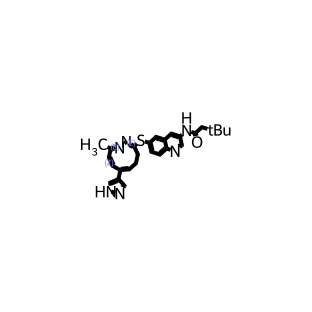 CC1=N\N=C(\Sc2ccc3ncc(NC(=O)CC(C)(C)C)cc3c2)CCC=C(c2cn[nH]c2)/C=C\1